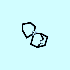 C1CC[N+]2(CC1)CC1CCC2CC1